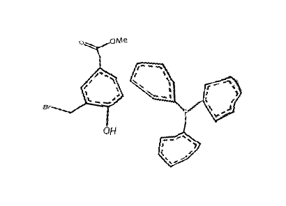 COC(=O)c1ccc(O)c(CBr)c1.c1ccc(P(c2ccccc2)c2ccccc2)cc1